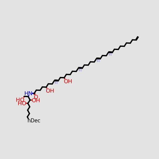 C=CCCCCCCC/C=C/CC/C=C/CCCC/C=C/CCCCC(O)C/C=C/CCC(O)CCCC(=O)NC(CO)C(O)C(O)CCCCCCCCCCCCCC